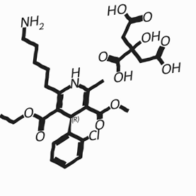 CCOC(=O)C1=C(CCCCCN)NC(C)=C(C(=O)OC)[C@H]1c1ccccc1Cl.O=C(O)CC(O)(CC(=O)O)C(=O)O